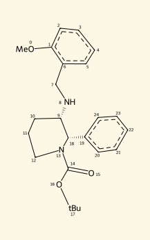 COc1ccccc1CN[C@H]1CCCN(C(=O)OC(C)(C)C)[C@H]1c1ccccc1